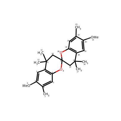 COc1cc2c(cc1C)OC1(CC2(C)C)CC(C)(C)c2cc(OC)c(C)cc2O1